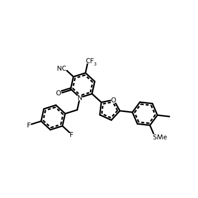 CSc1cc(-c2ccc(-c3cc(C(F)(F)F)c(C#N)c(=O)n3Cc3ccc(F)cc3F)o2)ccc1C